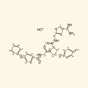 Cl.N=C(N)c1csc(CNC(=O)C2C[C@H](Oc3ccc(F)cc3)CN2C(=O)CNC(=O)c2ccc(Oc3ccccc3)cc2)c1